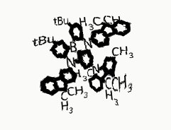 Cc1cc(C)c2c(c1)N(c1cc3c4c(c1)N(c1ccc5c(c1)C(C)(C)c1ccccc1-5)c1ccc(C(C)(C)C)cc1B4c1cc(C(C)(C)C)ccc1N3c1ccc3c(c1)-c1ccccc1C3(C)C)C1(C)CCCCC21C